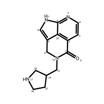 O=C1c2ccnc3[nH]cc(c23)CN1CC1CCNC1